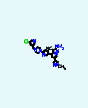 Cn1cc(C2=CN3N=C(N)C(C#N)C3C(c3ccc(N4CCN(Cc5cncc(Cl)c5)CC4)nc3)=C2)cn1